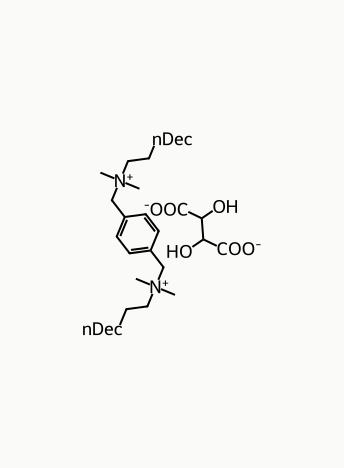 CCCCCCCCCCCC[N+](C)(C)Cc1ccc(C[N+](C)(C)CCCCCCCCCCCC)cc1.O=C([O-])C(O)C(O)C(=O)[O-]